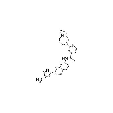 CN1CCCN(c2cc(C(=O)Nc3cc4nc(-c5cn(C)nn5)ccc4cn3)ccn2)CC1